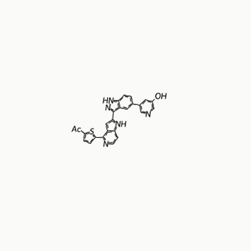 CC(=O)c1ccc(-c2nccc3[nH]c(-c4n[nH]c5ccc(-c6cncc(O)c6)cc45)cc23)s1